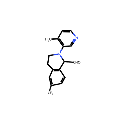 Cc1ccncc1N1CCc2cc(C(F)(F)F)ccc2C1C=O